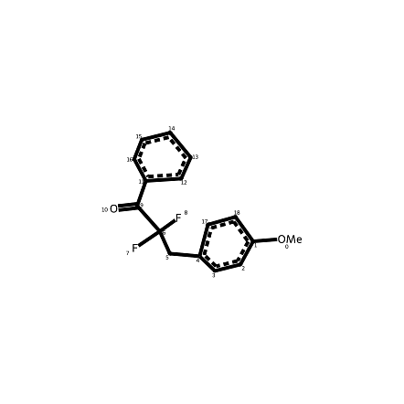 COc1ccc(CC(F)(F)C(=O)c2ccccc2)cc1